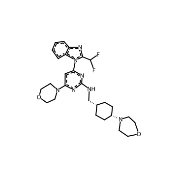 FC(F)c1nc2ccccc2n1-c1cc(N2CCOCC2)nc(NC[C@H]2CC[C@@H](N3CCOCC3)CC2)n1